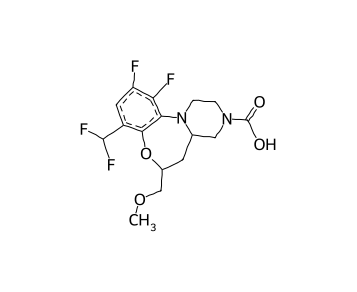 COCC1CC2CN(C(=O)O)CCN2c2c(F)c(F)cc(C(F)F)c2O1